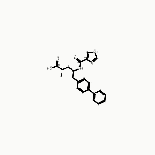 C[C@H](CC(Cc1ccc(-c2ccccc2)cc1)NC(=O)c1c[nH]cn1)C(=O)O